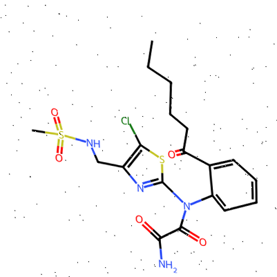 CCCCCC(=O)c1ccccc1N(C(=O)C(N)=O)c1nc(CNS(C)(=O)=O)c(Cl)s1